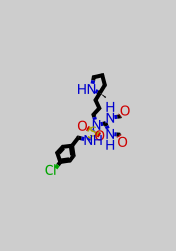 C[C@@]1(CCCN(C(NC=O)NC=O)S(=O)(=O)NCc2ccc(Cl)cc2)CCCN1